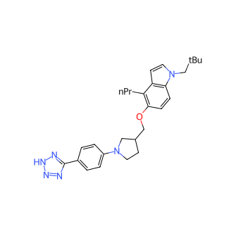 CCCc1c(OCC2CCN(c3ccc(-c4nn[nH]n4)cc3)C2)ccc2c1ccn2CC(C)(C)C